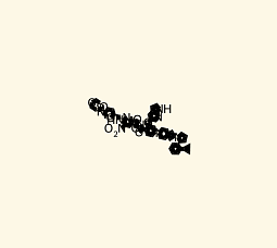 O=C(NS(=O)(=O)c1cnc(NC[C@@H]2CC[C@@H](N=S3(=O)CCOCC3)CO2)c([N+](=O)[O-])c1)c1ccc(N2CCC3(CC2)CC(N2CCC[C@@H]2c2ccccc2C2CC2)C3)cc1Oc1cnc2[nH]ccc2c1